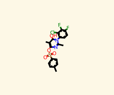 CC1=NC(OS(=O)(=O)c2ccc(C)cc2)=C(C)C(O)N1c1ccc(F)c(F)c1Cl